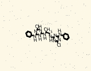 CC(CNc1nc(Cl)nc(Nc2ccccc2)n1)NC1NC(Cl)=NC(Nc2ccccc2)N1